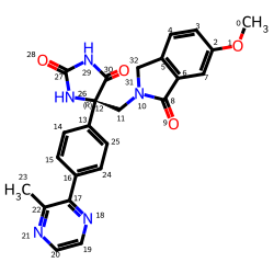 COc1ccc2c(c1)C(=O)N(C[C@@]1(c3ccc(-c4nccnc4C)cc3)NC(=O)NC1=O)C2